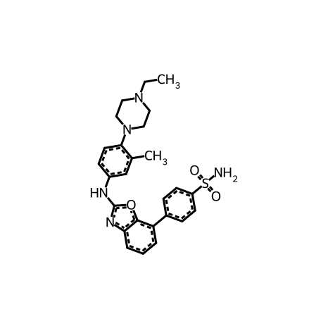 CCN1CCN(c2ccc(Nc3nc4cccc(-c5ccc(S(N)(=O)=O)cc5)c4o3)cc2C)CC1